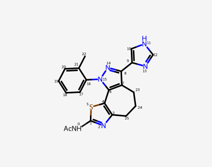 CC(=O)Nc1nc2c(s1)-c1c(c(-c3c[nH]cn3)nn1-c1ccccc1C)CCC2